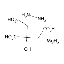 NN.O=C(O)CC(O)(CC(=O)O)C(=O)O.[MgH2]